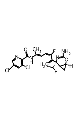 C=C(/C(F)=C\C=C(/C)NC(=O)c1ncc(Cl)cc1Cl)[C@@]1(C(F)F)N=C(N)O[C@@H]2CC21